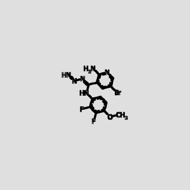 COc1ccc(N/C(=N\N=N)c2cc(Br)cnc2N)c(F)c1F